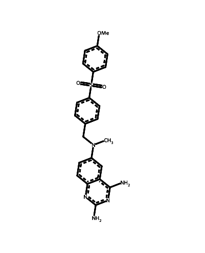 COc1ccc(S(=O)(=O)c2ccc(CN(C)c3ccc4nc(N)nc(N)c4c3)cc2)cc1